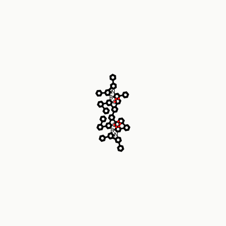 c1ccc(-c2cc3c4c(c2)-n2c5ccc(-c6ccccc6)cc5c5cc(-c6ccccc6)cc(c52)B4c2cc(-c4ccccc4-c4ccccc4)cc(-c4cc(-c5ccc(-c6cc(-c7ccccc7-c7ccccc7)cc7c6Oc6cc(-c8ccccc8-c8ccccc8)cc8c6B7c6cc(-c7ccccc7)cc7c9cc(-c%10ccccc%10)ccc9n-8c67)c(-c6ccccc6)c5)ccc4-c4ccccc4)c2O3)cc1